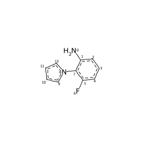 Nc1cccc(F)c1-n1cccc1